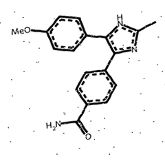 COc1ccc(-c2[nH]c(C)nc2-c2ccc(C(N)=O)cc2)cc1